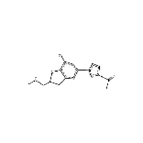 CNCC1Cc2cc(-c3ccc(C(C)=O)s3)cc(Cl)c2O1